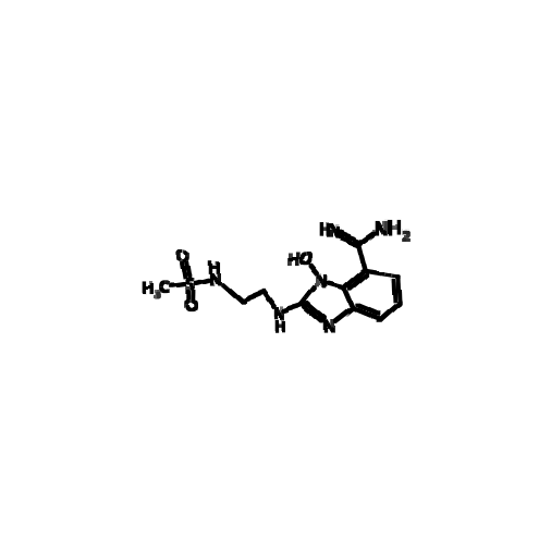 CS(=O)(=O)NCCNc1nc2cccc(C(=N)N)c2n1O